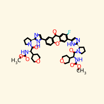 COC(=O)N[C@H](C(=O)N1CCC[C@H]1c1ncc(-c2ccc3oc4cc(-c5cnc([C@@H]6CCCN6C(=O)[C@@H](NC(=O)OC)C6CCOCC6)[nH]5)c(F)cc4c(=O)c3c2)[nH]1)C1CCOCC1